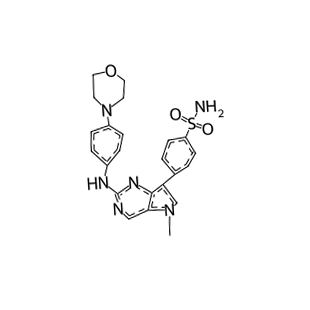 Cn1cc(-c2ccc(S(N)(=O)=O)cc2)c2nc(Nc3ccc(N4CCOCC4)cc3)ncc21